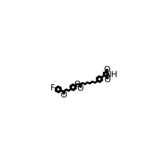 O=C1C=C(c2ccc(CCCCCCC(=O)Oc3ccc(C=CC(=O)c4ccc(F)cc4)cc3)cc2)C(=O)N1